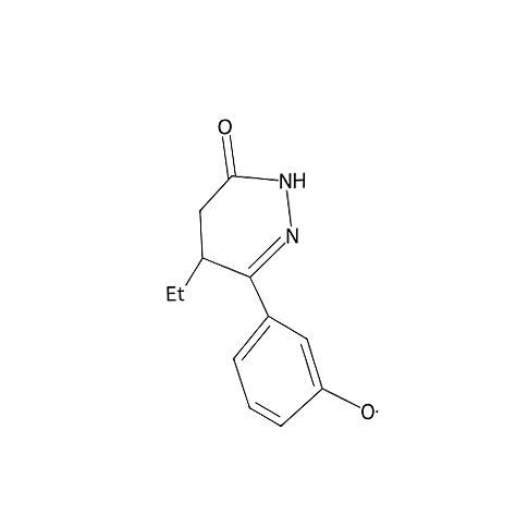 CCC1CC(=O)NN=C1c1cccc([O])c1